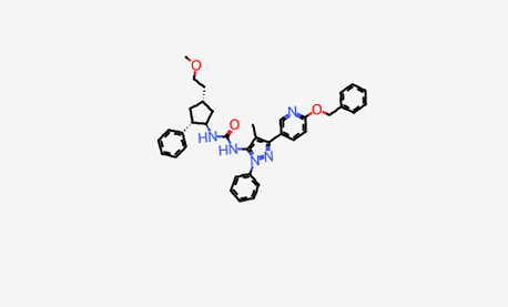 COCC[C@@H]1C[C@@H](NC(=O)Nc2c(C)c(-c3ccc(OCc4ccccc4)nc3)nn2-c2ccccc2)[C@H](c2ccccc2)C1